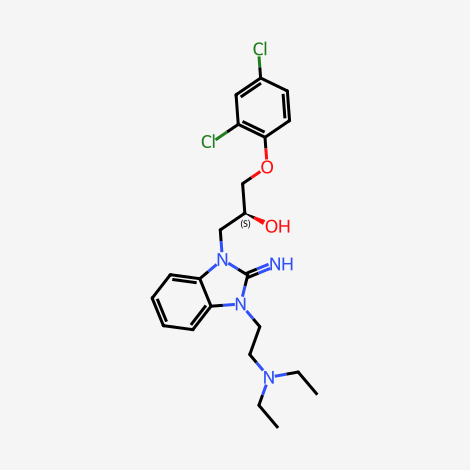 CCN(CC)CCn1c(=N)n(C[C@H](O)COc2ccc(Cl)cc2Cl)c2ccccc21